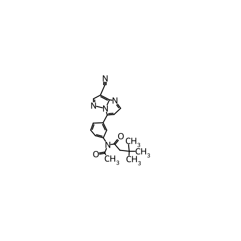 CC(=O)N(C(=O)CC(C)(C)C)c1cccc(-c2ccnc3c(C#N)cnn23)c1